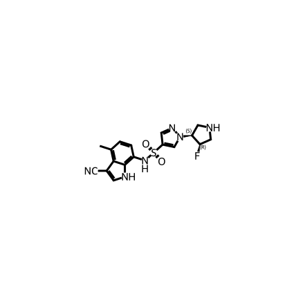 Cc1ccc(NS(=O)(=O)c2cnn([C@H]3CNC[C@H]3F)c2)c2[nH]cc(C#N)c12